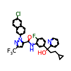 O=C(Nc1cc(C(O)(CCC2CC2)c2ccccn2)ccc1F)c1cc(C(F)(F)F)nn1-c1ccc2cc(Cl)ccc2c1